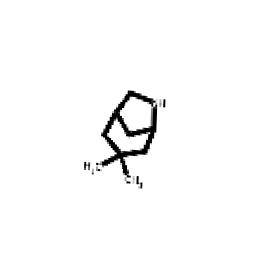 CC1(C)CC2CNC(C2)C1